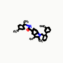 Cc1c(C)n(Cc2ccccc2-c2cccc(C=O)c2)c2ccc(C(=O)N[C@@H](C)c3ccc([N+](=O)[O-])cc3)cc12